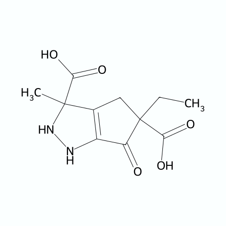 CCC1(C(=O)O)CC2=C(NNC2(C)C(=O)O)C1=O